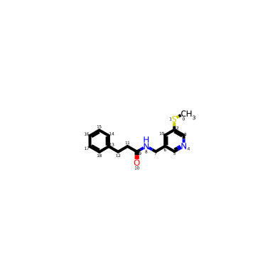 CSc1cncc(CNC(=O)CCc2ccccc2)c1